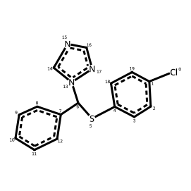 Clc1ccc(SC(c2ccccc2)n2cncn2)cc1